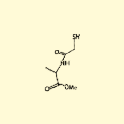 COC(=O)C(C)NC(=O)CS